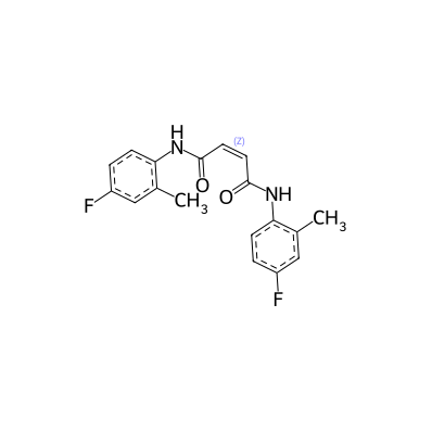 Cc1cc(F)ccc1NC(=O)/C=C\C(=O)Nc1ccc(F)cc1C